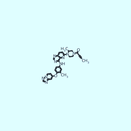 CC#CC(=O)N1CCN(c2ccc3ncnc(Nc4ccc(Oc5ccn6ncnc6c5)c(C)c4)c3n2)C(C)C1